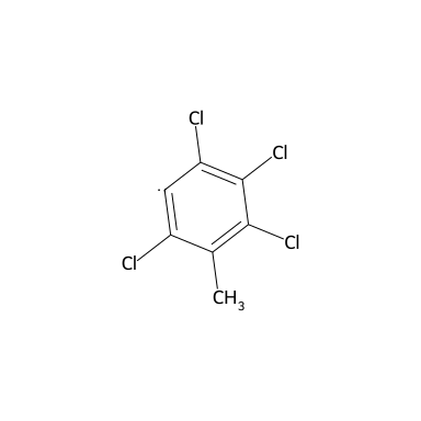 Cc1c(Cl)[c]c(Cl)c(Cl)c1Cl